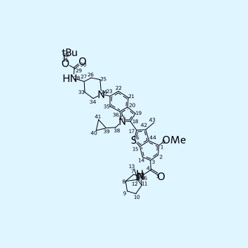 COc1cc(C(=O)N2CC3CCC2[C@@H]3C)cc2sc(-c3cc4ccc(N5CCC(NC(=O)OC(C)(C)C)CC5)cc4n3CC3CC3)c(C)c12